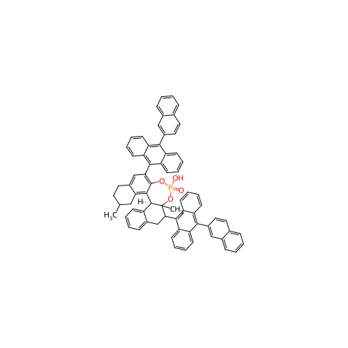 CC1CCc2cc(-c3c4ccccc4c(-c4ccc5ccccc5c4)c4ccccc34)c3c(c2C1)[C@@H]1c2ccccc2CC(c2c4ccccc4c(-c4ccc5ccccc5c4)c4ccccc24)C1(C)OP(=O)(O)O3